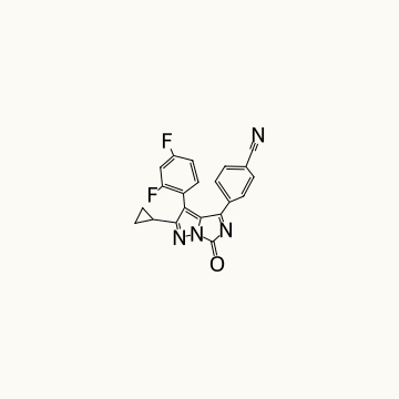 N#Cc1ccc(C2=NC(=O)n3nc(C4CC4)c(-c4ccc(F)cc4F)c32)cc1